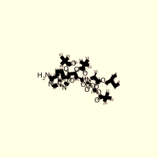 CCC(CC)COC(=O)[C@H](C)NP(=O)(OCOC(=O)C(C)(C)C)OC[C@H]1O[C@@](C#N)(c2ccc3c(N)ncnn23)[C@H](OC(=O)C(C)(C)C)[C@@H]1OC(=O)C(C)(C)C